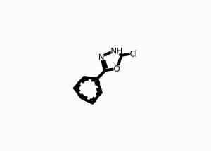 ClC1NN=C(c2ccccc2)O1